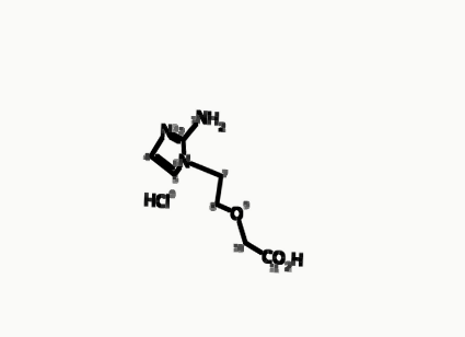 Cl.Nc1nccn1CCOCC(=O)O